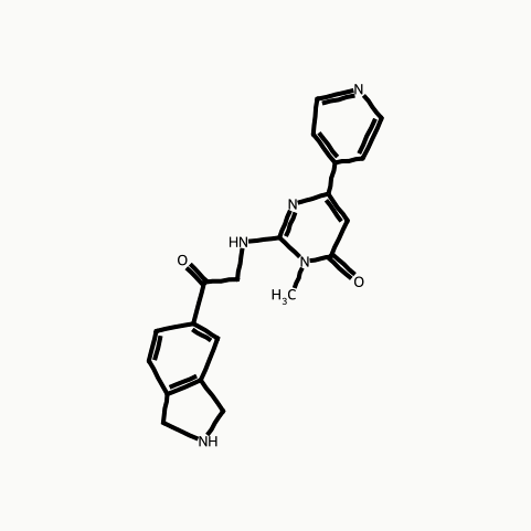 Cn1c(NCC(=O)c2ccc3c(c2)CNC3)nc(-c2ccncc2)cc1=O